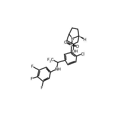 O=S(=O)(c1cc(C(Nc2cc(F)c(F)c(F)c2)C(F)(F)F)ccc1Cl)N1C2CC[C@@H]1CC(O)C2